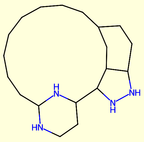 C1CCCCC2NCCC(N2)C2NNC3CCC(CCC1)CC32